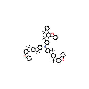 CC1(C)c2cc(N(c3ccc4c(c3)C(C)(C)c3cc5c(cc3-4)C(C)(C)c3ccc4oc6ccccc6c4c3-5)c3ccc4c(c3)C(C)(C)c3c5c(c6oc7ccccc7c6c3-4)-c3ccccc3C5(C)C)ccc2-c2cc3c(cc21)-c1c(ccc2oc4ccccc4c12)C3(C)C